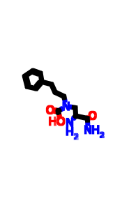 NC(=O)C(N)CN(CCCc1ccccc1)C(=O)O